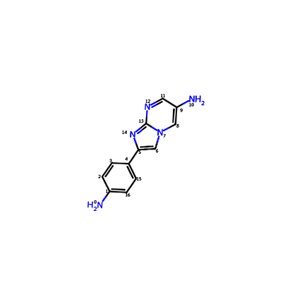 Nc1ccc(-c2cn3cc(N)cnc3n2)cc1